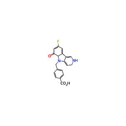 O=C(O)c1ccc(CN2C3=CCNC=C3C3=CC(F)=CC(=O)C32)cc1